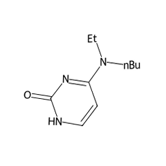 CCCCN(CC)c1cc[nH]c(=O)n1